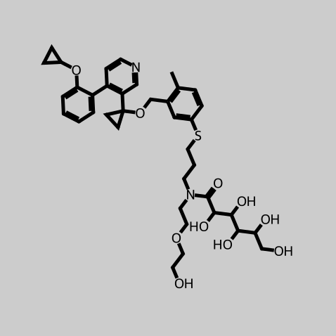 Cc1ccc(SCCCN(CCOCCO)C(=O)C(O)C(O)C(O)C(O)CO)cc1COC1(c2cnccc2-c2ccccc2OC2CC2)CC1